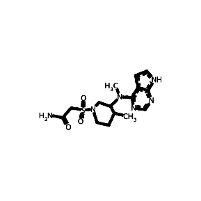 CC1CCN(S(=O)(=O)CC(N)=O)CC1N(C)c1ncnc2[nH]ccc12